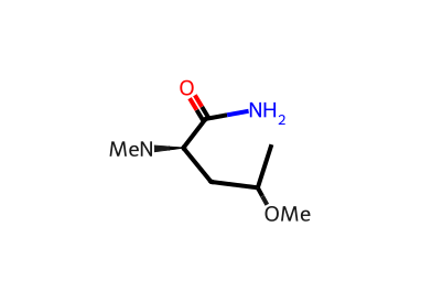 CN[C@H](CC(C)OC)C(N)=O